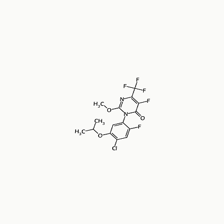 COc1nc(C(F)(F)F)c(F)c(=O)n1-c1cc(OC(C)C)c(Cl)cc1F